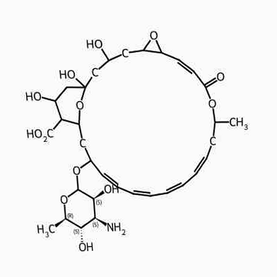 CC1CC=CC=CC=CC=CC(OC2O[C@H](C)[C@@H](O)[C@H](N)[C@@H]2O)CC2OC(O)(CC(O)CC3OC3C=CC(=O)O1)CC(O)C2C(=O)O